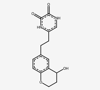 O=c1[nH]cc(CCc2ccc3c(c2)C(O)CCO3)[nH]c1=O